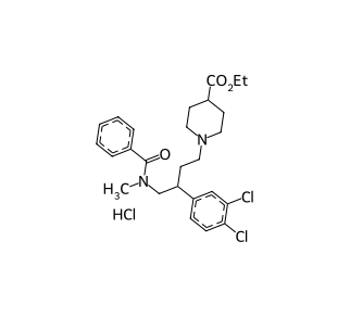 CCOC(=O)C1CCN(CCC(CN(C)C(=O)c2ccccc2)c2ccc(Cl)c(Cl)c2)CC1.Cl